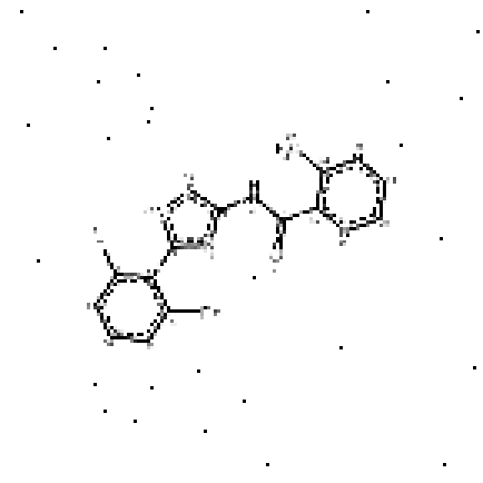 O=C(Nc1nc(-c2c(F)cccc2F)ns1)c1nccnc1C(F)(F)F